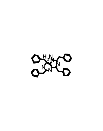 NN1c2c(Cc3ccccc3)nc(Cc3ccccc3)nc2C(Cc2ccccc2)=NC1Cc1ccccc1